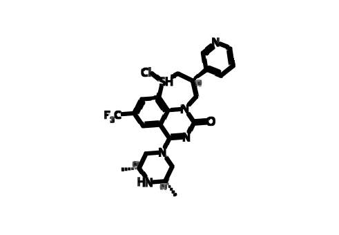 C[C@@H]1CN(c2nc(=O)n3c4c(cc(C(F)(F)F)cc24)[SH](Cl)C[C@@H](c2cccnc2)C3)C[C@H](C)N1